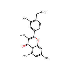 CC(=O)Oc1cc(OC(C)=O)c2c(=O)c(OC(C)=O)c(-c3ccc(CC(=O)O)c(OC(C)=O)c3)oc2c1